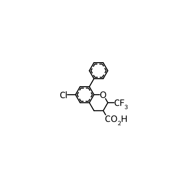 O=C(O)C1Cc2cc(Cl)cc(-c3ccccc3)c2OC1C(F)(F)F